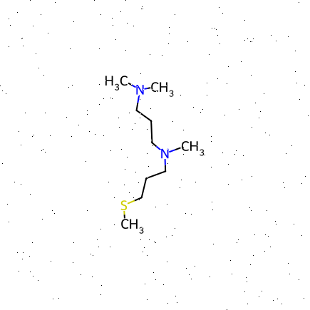 CSCCCN(C)CCCN(C)C